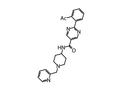 CC(=O)c1ccccc1-c1ncc(C(=O)NC2CCN(Cc3ccccn3)CC2)cn1